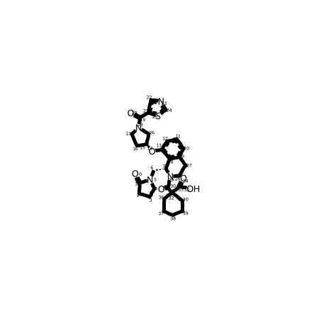 O=C1CCCN1C[C@@H]1c2c(cccc2O[C@H]2CCN(C(=O)c3cncs3)C2)CCN1C(=O)C1(C(=O)O)CCCCC1